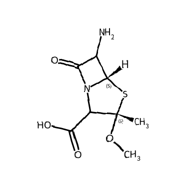 CO[C@@]1(C)S[C@H]2C(N)C(=O)N2C1C(=O)O